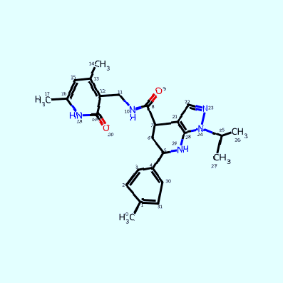 Cc1ccc(C2CC(C(=O)NCc3c(C)cc(C)[nH]c3=O)c3cnn(C(C)C)c3N2)cc1